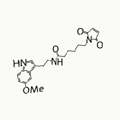 COc1ccc2[nH]cc(CCNC(=O)CCCCCN3C(=O)C=CC3=O)c2c1